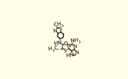 CC[C@@H](Sc1nc(N)nc2nc[nH]c12)C(=O)Nc1ccc2sc(C)nc2c1